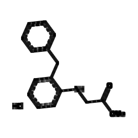 COC(=O)CNc1ccccc1Cc1ccccc1.Cl